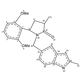 COc1cccc(OC)c1C1CC(C)C(=O)N1Cc1ccc2nc(C)sc2c1